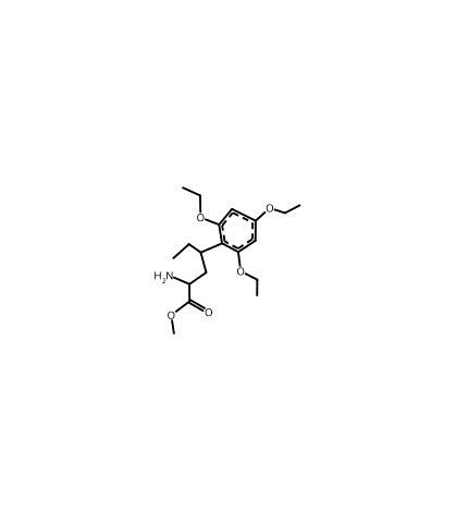 CCOc1cc(OCC)c(C(CC)CC(N)C(=O)OC)c(OCC)c1